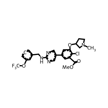 COC(=O)c1cc(-c2cnc(NCc3cccc(OC(F)(F)F)c3)nc2)cc(OC2CCN(C)C2)c1Cl